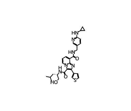 CC(C)C[C@@H](CO)NC(=O)c1c(-c2ccsc2)nc2c(C(=O)NCc3ccc(NC4CC4)nc3)cccn12